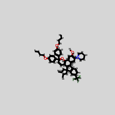 CCCCOc1ccc(C2(c3ccc(OCCCC)cc3)C=Cc3c4c(c5cc(N6CCCCC6)c(OC)cc5c3O2)-c2ccc(C(F)(F)F)cc2C4(CCC)CCC)cc1